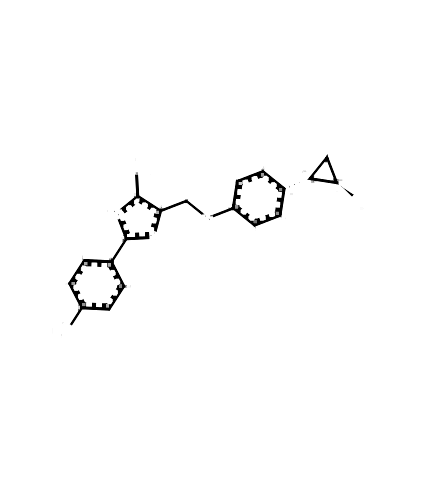 Cc1ccc(-c2nc(C)c(CNc3ccc([C@@H]4C[C@H]4C(=O)O)cc3)s2)cc1